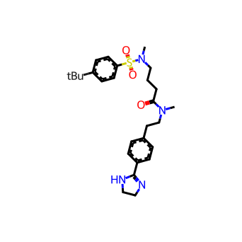 CN(CCc1ccc(C2=NCCN2)cc1)C(=O)CCCN(C)S(=O)(=O)c1ccc(C(C)(C)C)cc1